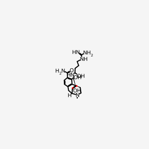 CN1CC[C@]23C[C@H](NC(O)CCCNC(=N)N)CC[C@@]2(O)[C@H]1Cc1ccc(C(N)=O)c(O)c13